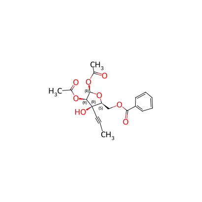 CC#C[C@@]1(O)[C@H](COC(=O)c2ccccc2)O[C@H](OC(C)=O)[C@@H]1OC(C)=O